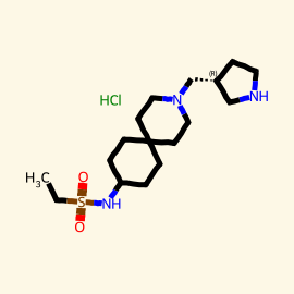 CCS(=O)(=O)NC1CCC2(CC1)CCN(C[C@@H]1CCNC1)CC2.Cl